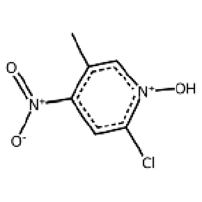 Cc1c[n+](O)c(Cl)cc1[N+](=O)[O-]